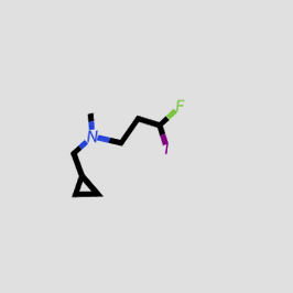 CN(CCC(F)I)CC1CC1